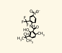 Cc1ccc(C(C)(C)C)c(O)c1C(=O)Nc1ccc([N+](=O)[O-])cc1C(F)(F)F